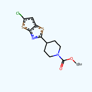 CC(C)(C)OC(=O)N1CCC(c2nc3sc(Cl)cc3s2)CC1